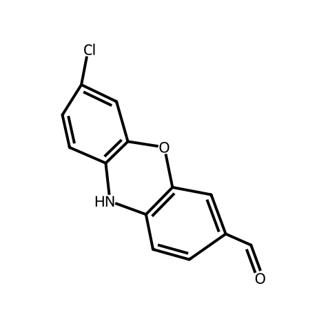 O=Cc1ccc2c(c1)Oc1cc(Cl)ccc1N2